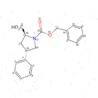 O=C(O)[C@@H]1C[C@@H](c2ccccc2)CN1C(=O)OCc1ccccc1